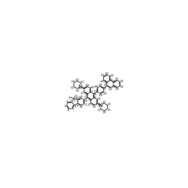 CC1(C)c2ccccc2-c2ccc(-c3c4ccc(N5CCCCC5)cc4c(-c4ccc(-c5cc6ccccc6c6ccccc56)cc4)c4ccc(N5CCCCC5)cc34)cc21